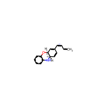 C=C/C=C\C1=C[C@@H]2Oc3ccccc3N[C@H]2C=C1